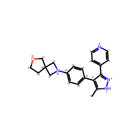 Cc1[nH]nc(-c2ccncc2)c1-c1ccc(N2CC3(CCOC3)C2)cc1